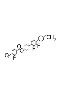 C=CC1CCC(c2ccc(C3CCC(OC(=O)c4ccc(C5CO5)c(F)c4)CC3)c(F)c2F)CC1